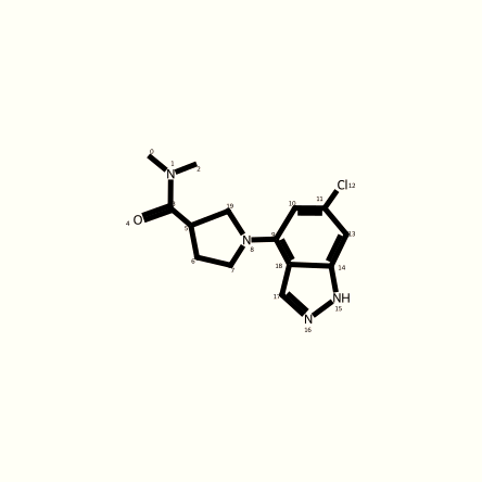 CN(C)C(=O)C1CCN(c2cc(Cl)cc3[nH]ncc23)C1